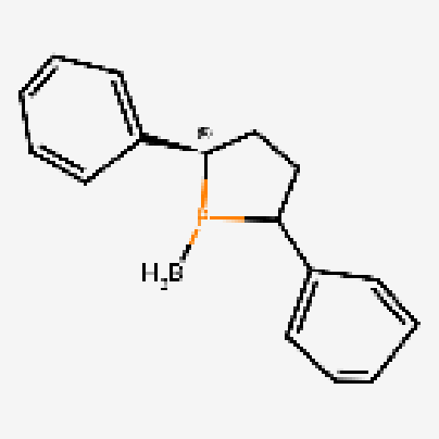 BP1C(c2ccccc2)CC[C@@H]1c1ccccc1